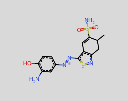 CC1Cc2nsc(/N=N/c3ccc(O)c(N)c3)c2C=C1S(N)(=O)=O